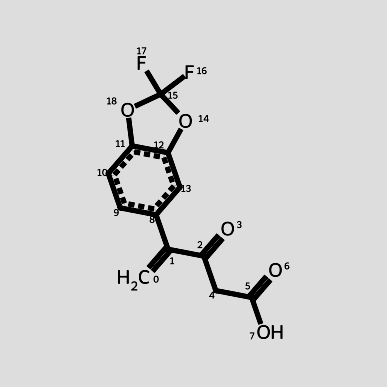 C=C(C(=O)CC(=O)O)c1ccc2c(c1)OC(F)(F)O2